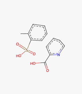 Cc1ccccc1S(=O)(=O)O.O=C(O)c1ccccn1